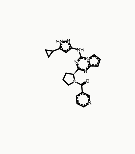 O=C(c1cccnc1)N1CCC[C@H]1c1nc(Nc2cc(C3CC3)[nH]n2)n2cccc2n1